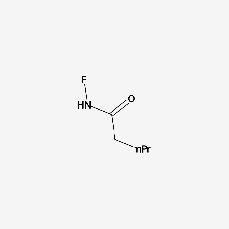 CCCCC(=O)NF